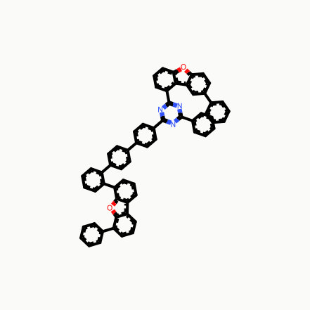 c1ccc(-c2ccc3oc4cccc(-c5nc(-c6ccccc6)nc(-c6ccc(-c7ccc(-c8ccccc8-c8cccc9c8oc8c(-c%10ccccc%10)cccc89)cc7)cc6)n5)c4c3c2)cc1